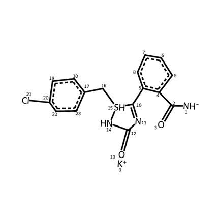 [K+].[NH-]C(=O)c1ccccc1C1=NC(=O)N[SH]1Cc1ccc(Cl)cc1